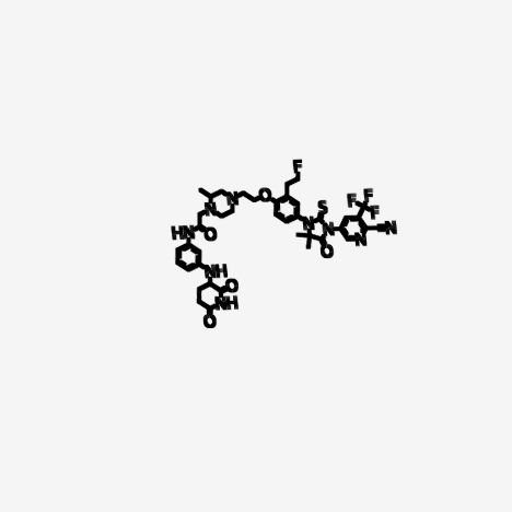 CC1CN(CCOc2ccc(N3C(=S)N(c4cnc(C#N)c(C(F)(F)F)c4)C(=O)C3(C)C)cc2CCF)CCN1CC(=O)Nc1cccc(NC2CCC(=O)NC2=O)c1